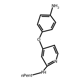 CCCCCPc1cc(Oc2ccc(N)cc2)ccn1